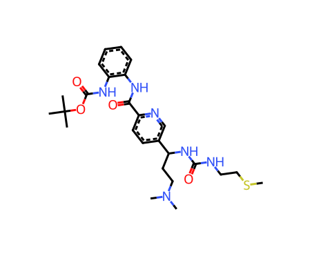 CSCCNC(=O)NC(CCN(C)C)c1ccc(C(=O)Nc2ccccc2NC(=O)OC(C)(C)C)nc1